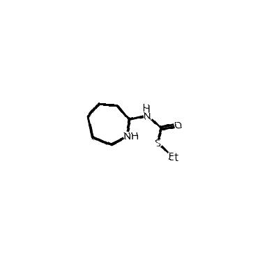 CCSC(=O)NC1CCCCCN1